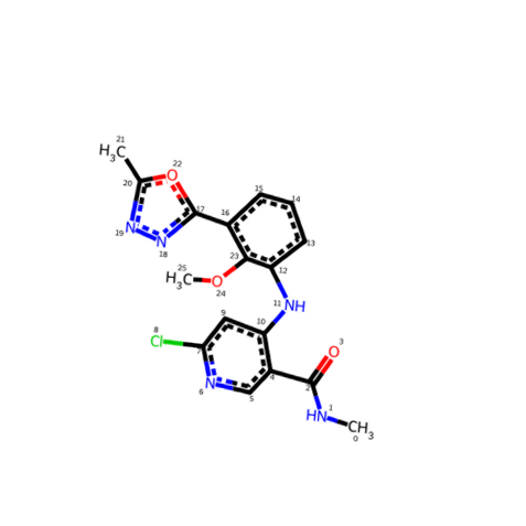 CNC(=O)c1cnc(Cl)cc1Nc1cccc(-c2nnc(C)o2)c1OC